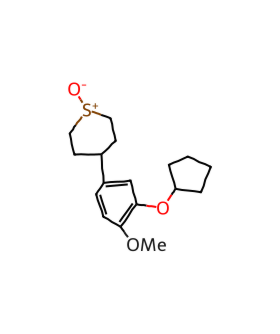 COc1ccc(C2CC[S+]([O-])CC2)cc1OC1CCCC1